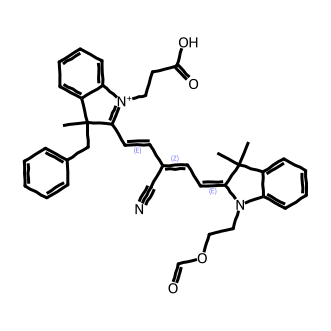 CC1(Cc2ccccc2)C(/C=C/C(C#N)=C/C=C2/N(CCOC=O)c3ccccc3C2(C)C)=[N+](CCC(=O)O)c2ccccc21